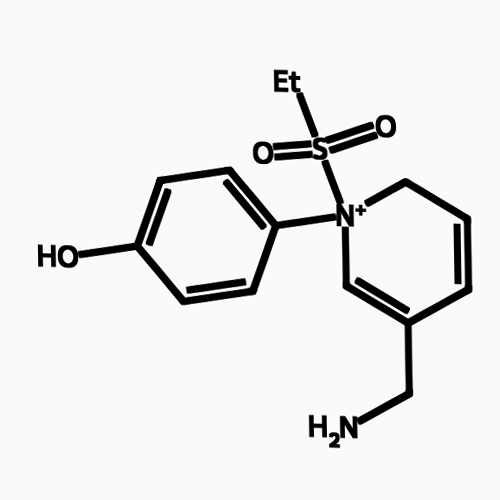 CCS(=O)(=O)[N+]1(c2ccc(O)cc2)C=C(CN)C=CC1